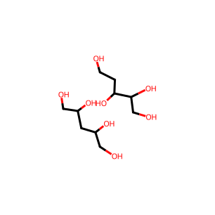 OCC(O)CC(O)CO.OCCC(O)C(O)CO